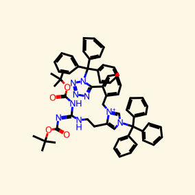 CC(C)(C)OC(=O)/N=C(\NCCc1cn(C(c2ccccc2)(c2ccccc2)c2ccccc2)c[n+]1Cc1ccccc1-c1nnnn1C(c1ccccc1)(c1ccccc1)c1ccccc1)NC(=O)OC(C)(C)C